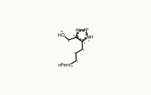 CCCCCCCCc1[nH]nnc1CO